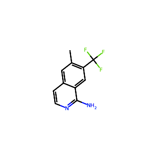 Cc1cc2ccnc(N)c2cc1C(F)(F)F